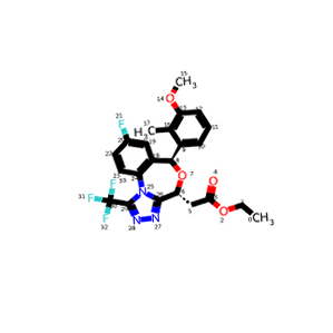 CCOC(=O)C[C@H]1O[C@H](c2cccc(OC)c2C)c2cc(F)ccc2-n2c1nnc2C(F)(F)F